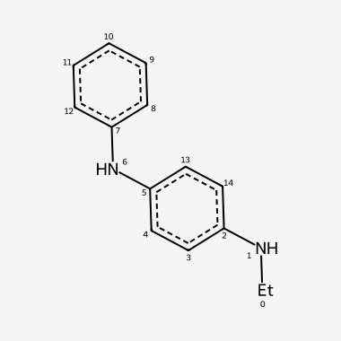 [CH2]CNc1ccc(Nc2ccccc2)cc1